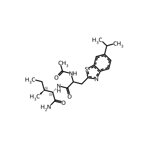 CC[C@H](C)[C@H](NC(=O)C(Cc1nc2ccc(C(C)C)cc2s1)NC(C)=O)C(N)=O